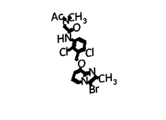 CC(=O)N(C)CC(=O)Nc1ccc(Cl)c(COc2cccn3c(Br)c(C)nc23)c1Cl